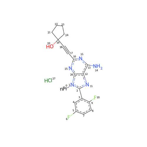 CCCn1c(-c2cc(F)ccc2F)nc2c(N)nc(C#CC3(O)CCCC3)nc21.Cl